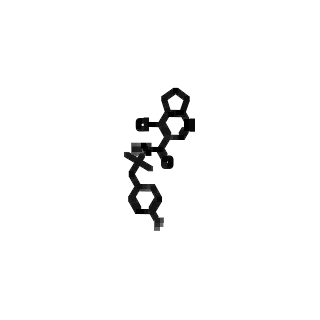 CC(C)(Cc1ccc(F)cc1)NC(=O)c1cnc2c(c1Cl)CCC2